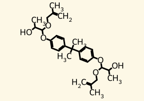 C=C(C)COC(Oc1ccc(C(C)(C)c2ccc(OC(OCC(=C)C)C(C)O)cc2)cc1)C(C)O